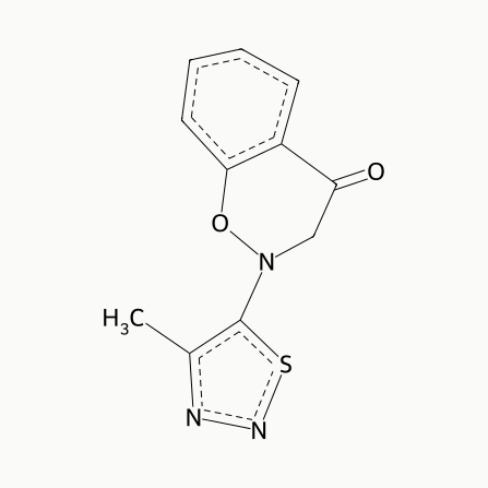 Cc1nnsc1N1CC(=O)c2ccccc2O1